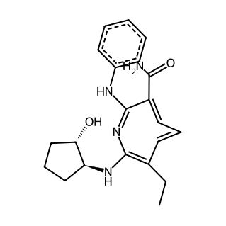 CCC1=C(N[C@H]2CCC[C@@H]2O)/N=C(Nc2ccccc2)\C(C(N)=O)=C\C=C\1